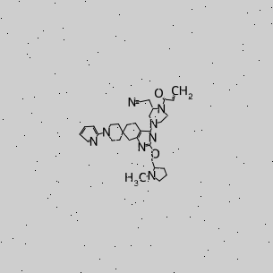 C=CC(=O)N1CCN(c2nc(OCC3CCCN3C)nc3c2CCC2(CCN(c4ccccn4)CC2)C3)CC1CC#N